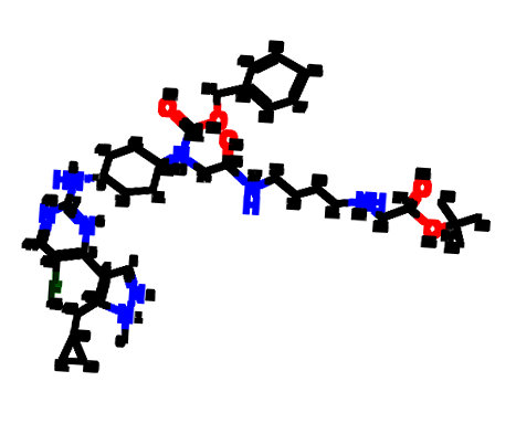 Cn1ncc(-c2nc(N[C@H]3CC[C@H](N(CC(=O)NCCCCNCC(=O)OC(C)(C)C)C(=O)OCc4ccccc4)CC3)ncc2F)c1CC1CC1